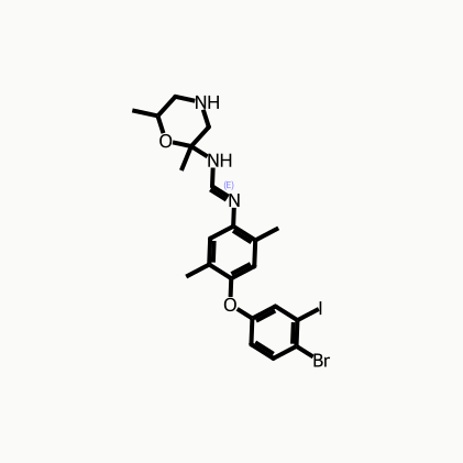 Cc1cc(Oc2ccc(Br)c(I)c2)c(C)cc1/N=C/NC1(C)CNCC(C)O1